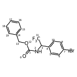 O=C(NC(c1ccc(Br)cc1)C(F)(F)F)OCc1ccccc1